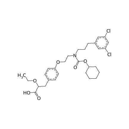 CCOC(Cc1ccc(OCCN(CCCc2cc(Cl)cc(Cl)c2)C(=O)OC2CCCCC2)cc1)C(=O)O